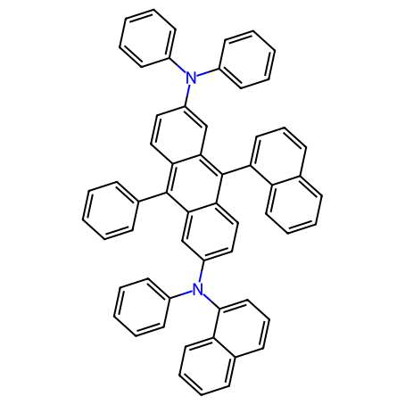 c1ccc(-c2c3cc(N(c4ccccc4)c4cccc5ccccc45)ccc3c(-c3cccc4ccccc34)c3cc(N(c4ccccc4)c4ccccc4)ccc23)cc1